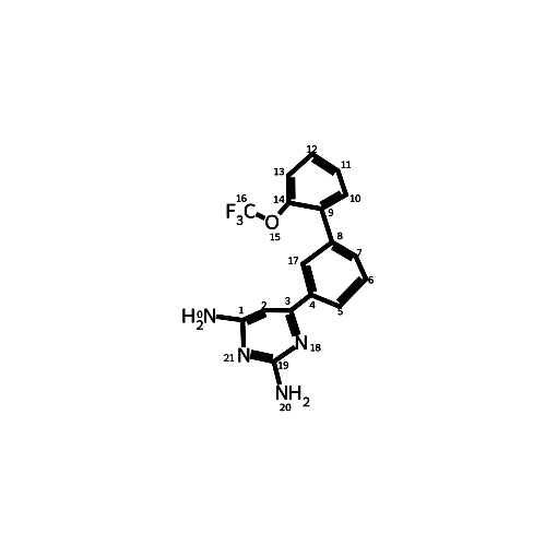 Nc1cc(-c2cccc(-c3ccccc3OC(F)(F)F)c2)nc(N)n1